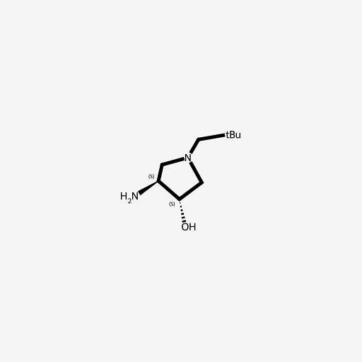 CC(C)(C)CN1C[C@H](N)[C@@H](O)C1